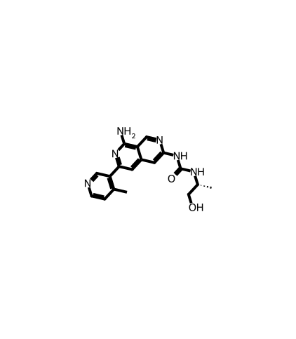 Cc1ccncc1-c1cc2cc(NC(=O)N[C@H](C)CO)ncc2c(N)n1